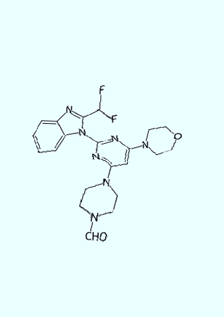 O=CN1CCN(c2cc(N3CCOCC3)nc(-n3c(C(F)F)nc4ccccc43)n2)CC1